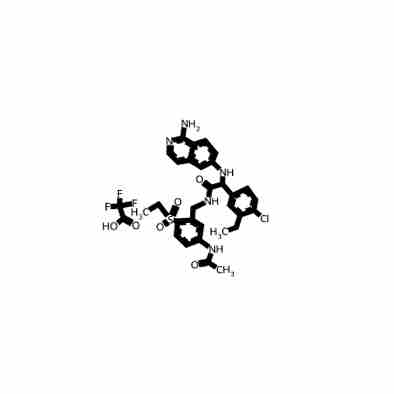 CCc1cc(C(Nc2ccc3c(N)nccc3c2)C(=O)NCc2cc(NC(C)=O)ccc2S(=O)(=O)CC)ccc1Cl.O=C(O)C(F)(F)F